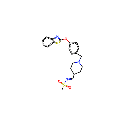 CS(=O)(=O)N=CC1CCN(Cc2ccc(Oc3nc4ccccc4s3)cc2)CC1